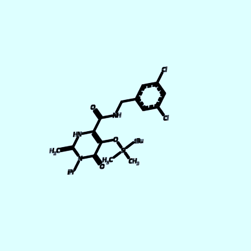 C=C1NC(C(=O)NCc2cc(Cl)cc(Cl)c2)=C(O[Si](C)(C)C(C)(C)C)C(=O)N1C(C)C